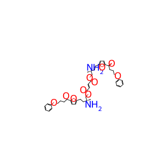 C[C@@](N)(CCc1ccc(C(=O)CCCOc2ccccc2)o1)COC(=O)/C=C/C(=O)OC[C@](C)(N)CCc1ccc(C(=O)CCCOc2ccccc2)o1